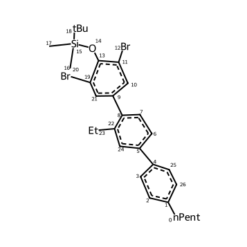 CCCCCc1ccc(-c2ccc(-c3cc(Br)c(O[Si](C)(C)C(C)(C)C)c(Br)c3)c(CC)c2)cc1